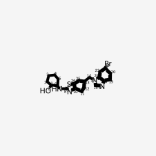 OC1CCCCC1Nc1nc2ccc(Cn3cnc4ccc(Br)cc43)cc2s1